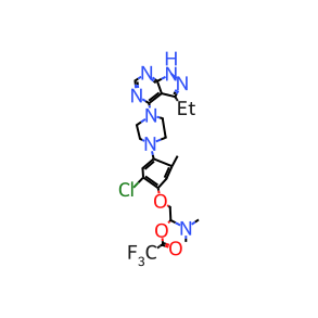 CCc1n[nH]c2ncnc(N3CCN(c4cc(Cl)c(OCC(OC(=O)C(F)(F)F)N(C)C)cc4C)CC3)c12